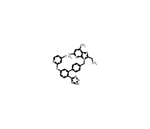 CCc1nc2c(C)cc(C)nc2n1Cc1ccc(-c2cc(Oc3cc(Cl)ccn3)ccc2-c2nn[nH]n2)cc1